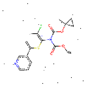 C=C(S/C(=C(\C)Cl)N(C(=O)OC(C)(C)C)C(=O)OC1(C)CC1)c1cccnc1